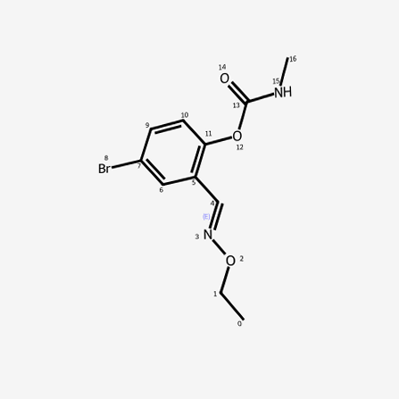 CCO/N=C/c1cc(Br)ccc1OC(=O)NC